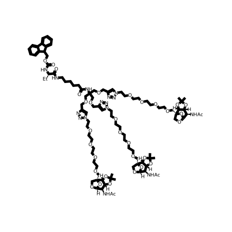 CC[C@H](NC(=O)OCC1c2ccccc2-c2ccccc21)C(=O)NCCCCCC(=O)NC(COCc1cn(CCOCCOCCOCCOC[C@@]23CO[C@@H](O2)[C@H](NC(C)=O)[C@H]2OC(C)(C)O[C@H]23)nn1)(COCc1cn(CCOCCOCCOCCOC[C@@]23CO[C@@H](O2)[C@H](NC(C)=O)[C@H]2OC(C)(C)O[C@H]23)nn1)COCc1cn(CCOCCOCCOCCOC[C@@]23COC(O2)[C@H](NC(C)=O)[C@H]2OC(C)(C)O[C@H]23)nn1